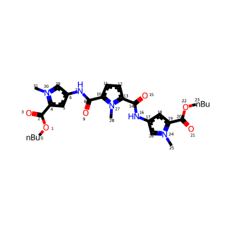 CCCCOC(=O)c1cc(NC(=O)c2ccc(C(=O)Nc3cc(C(=O)OCCCC)n(C)c3)n2C)cn1C